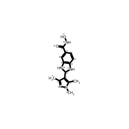 Cc1nn(C)c(C)c1C1Nc2ccc(C(=O)NO)cc2N1